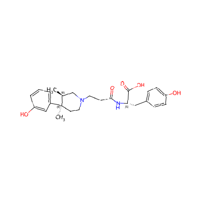 C[C@H]1CN(CCC(=O)N[C@@H](Cc2ccc(O)cc2)C(=O)O)CC[C@@]1(C)c1cccc(O)c1